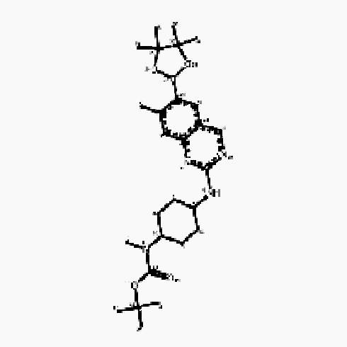 Cc1cc2nc(NC3CCC(N(C)C(=O)OC(C)(C)C)CC3)ncc2cc1B1OC(C)(C)C(C)(C)O1